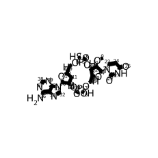 CO[C@@H]1[C@@H]2OP(=O)(S)OC[C@@H]3C[C@@H](OP(=O)(O)OC[C@H]2O[C@H]1n1ccc(=O)[nH]c1=O)[C@H](n1cnc2c(N)ncnc21)O3